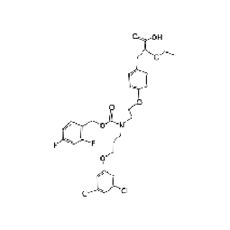 CCOC(Cc1ccc(OCCN(CCCOc2cc(Cl)cc(Cl)c2)C(=O)OCc2ccc(F)cc2F)cc1)C(=O)O